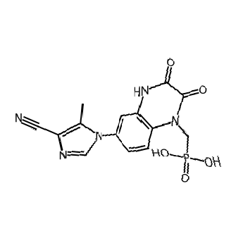 Cc1c(C#N)ncn1-c1ccc2c(c1)[nH]c(=O)c(=O)n2CP(=O)(O)O